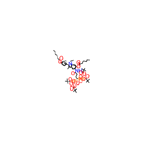 CCCCCC(=O)Oc1ccc(-c2c(C)c3cc(NC(=O)CCC([PH](=O)OC(OC(=O)C(C)(C)C)OC(=O)C(C)(C)C)[PH](=O)OC(OC(=O)C(C)(C)C)OC(=O)C(C)(C)C)c(OC(=O)CCCCC)cc3n2CC)cc1